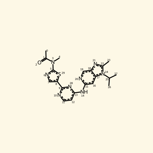 CC(=O)N(C)c1ncc(-c2nccc(Nc3cc4c(cn3)nc(C)n4C(C)C)n2)s1